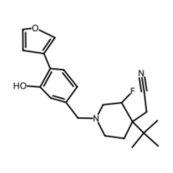 CC(C)(C)C1(CC#N)CCN(Cc2ccc(-c3ccoc3)c(O)c2)CC1F